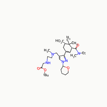 CCN(C)C(=O)C1C=C(c2nn(C3CCCCO3)cc2CN(C)CCNCC(=O)OC(C)(C)C)CC(C(=O)O)C1(C)C